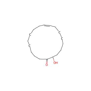 O=C1CCCCCCCCC=CCCCCCCC1O